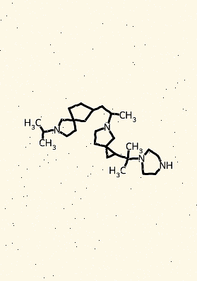 CC(C)N1CCC2(CCC(CC(C)N3CCC4(CC4C(C)(C)N4CCNCC4)C3)C2)C1